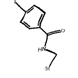 O=C(N[CH2][Sn])c1ccc(I)cc1